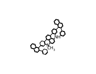 CN1C2=C(CCC(c3c(C4=CC=CCC4)ccc4ccccc34)=C2)c2ccc3c4c(ccc1c24)Nc1cc(-c2c(-c4ccccc4)ccc4ccccc24)ccc1-3